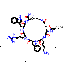 CC(=O)NCC(=O)NC1CCC(=O)NCCCC(C(N)=O)NC(=O)[C@H](Cc2c[nH]c3ccccc23)NC(=O)[C@H](CCCNC(=N)N)NC(=O)C(Cc2ccccc2)NC(=O)[C@H](CCCCN)NC1=O